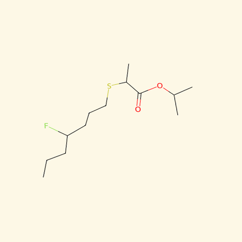 CCCC(F)CCCSC(C)C(=O)OC(C)C